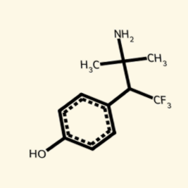 CC(C)(N)C(c1ccc(O)cc1)C(F)(F)F